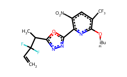 C=CC(F)(F)C(C)c1nnc(-c2nc(O[C@H](C)CC)c(C(F)(F)F)cc2[N+](=O)[O-])o1